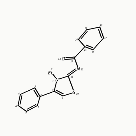 CCn1c(-c2ccccc2)cs/c1=N/C(=O)c1ccccc1